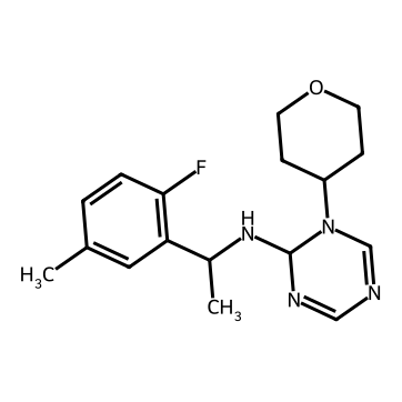 Cc1ccc(F)c(C(C)NC2N=CN=CN2C2CCOCC2)c1